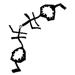 C=Cc1ccc(C(C)(C)C(C)(CC)OC(C)(CC)C(C)(C)c2ccc(C=C)cc2)cc1